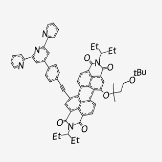 CCC(CC)N1C(=O)c2ccc3c4c(OC(C)(C)CCOC(C)(C)C)cc5c6c(ccc(c7c(C#Cc8ccc(-c9cc(-c%10ccccn%10)nc(-c%10ccccn%10)c9)cc8)cc(c2c37)C1=O)c64)C(=O)N(C(CC)CC)C5=O